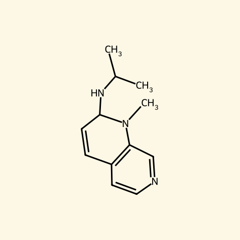 CC(C)NC1C=Cc2ccncc2N1C